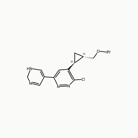 CC(C)OC[C@H]1C[C@@H]1c1cc(C2=CNCN=C2)nnc1Cl